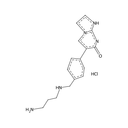 Cl.NCCCNCc1ccc(-c2cn3cc[nH]c3nc2=O)cc1